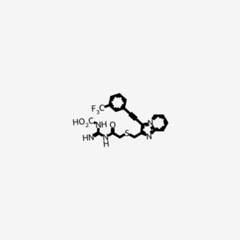 N=C(NC(=O)O)NC(=O)CSCc1nc2ccccn2c1C#Cc1cccc(C(F)(F)F)c1